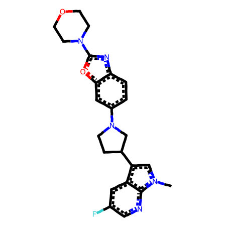 Cn1cc(C2CCN(c3ccc4nc(N5CCOCC5)oc4c3)C2)c2cc(F)cnc21